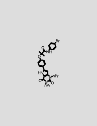 CCCn1c(=O)c2[nH]c(-c3ccc(OC(C)(C)C(=O)Nc4ccc(Br)cc4)cc3)cc2n(CCC)c1=O